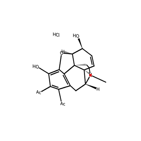 CC(=O)c1c(O)c2c3c(c1C(C)=O)C[C@@H]1[C@@H]4C=C[C@H](O)[C@H](O2)[C@]34CCN1C.Cl